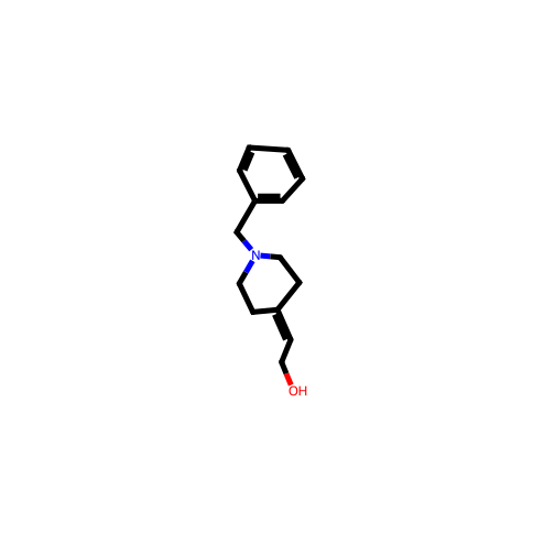 OCC=C1CCN(Cc2ccccc2)CC1